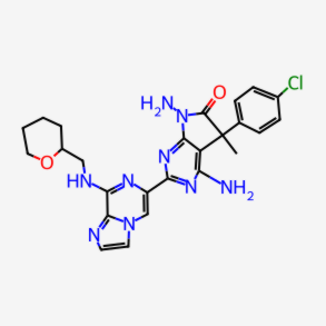 CC1(c2ccc(Cl)cc2)C(=O)N(N)c2nc(-c3cn4ccnc4c(NCC4CCCCO4)n3)nc(N)c21